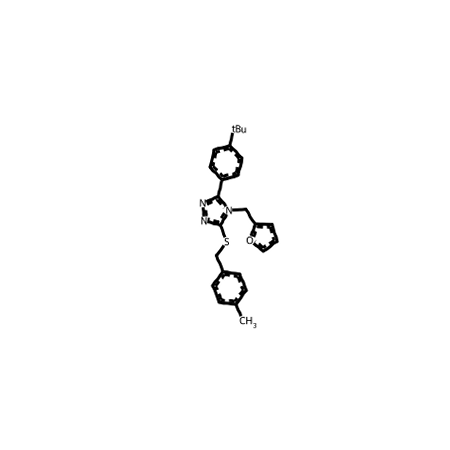 Cc1ccc(CSc2nnc(-c3ccc(C(C)(C)C)cc3)n2Cc2ccco2)cc1